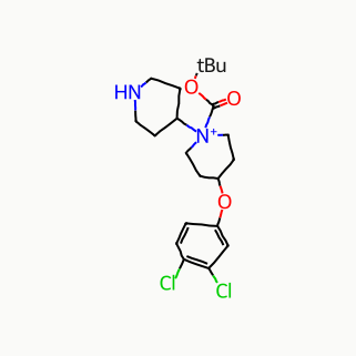 CC(C)(C)OC(=O)[N+]1(C2CCNCC2)CCC(Oc2ccc(Cl)c(Cl)c2)CC1